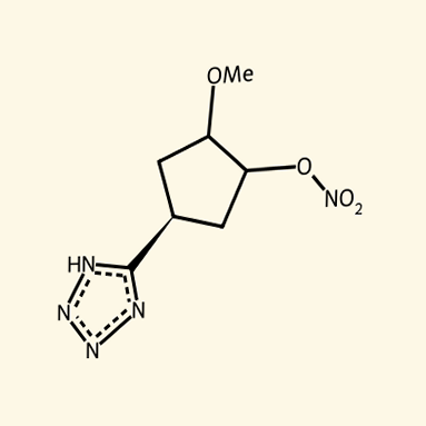 COC1C[C@H](c2nnn[nH]2)CC1O[N+](=O)[O-]